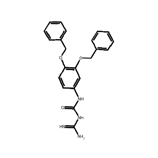 N=C(N)NC(=O)Nc1ccc(OCc2ccccc2)c(OCc2ccccc2)c1